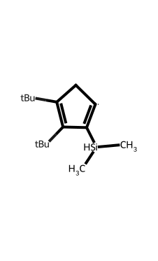 C[SiH](C)C1=[C]CC(C(C)(C)C)=C1C(C)(C)C